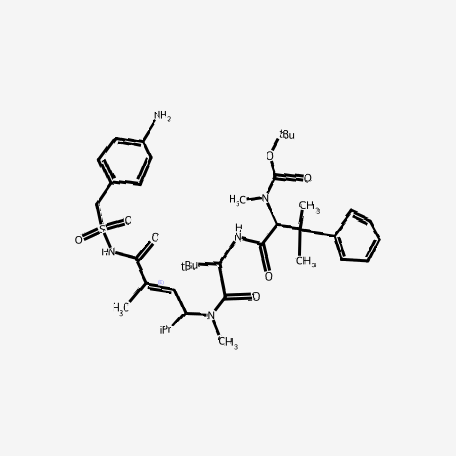 C/C(=C\C(C(C)C)N(C)C(=O)C(NC(=O)C(N(C)C(=O)OC(C)(C)C)C(C)(C)c1ccccc1)C(C)(C)C)C(=O)NS(=O)(=O)Cc1ccc(N)cc1